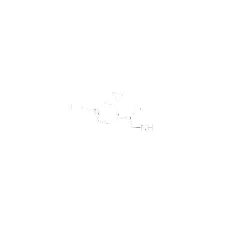 CN1CCN(C(=O)CN)CC1.Cl